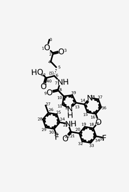 COC(=O)CC[C@H](NC(=O)c1c[nH]c(-c2cc(Oc3cc(C(=O)Nc4cc(C)ccc4F)ccc3F)ccn2)c1)C(=O)O